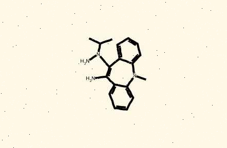 CC(C)N(N)C1=C(N)c2ccccc2N(C)c2ccccc21